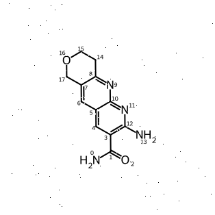 NC(=O)c1cc2cc3c(nc2nc1N)CCOC3